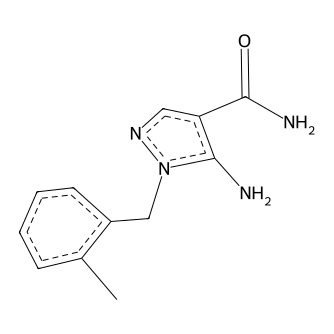 Cc1ccccc1Cn1ncc(C(N)=O)c1N